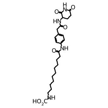 O=C(O)NCCCCCCCCCCC(=O)Nc1ccc(CC(=O)NC2CCC(=O)NC2=O)cc1